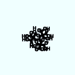 O=C(O)C(CC(CC(C(=O)O)(C(=O)O)C(=O)O)CC(C(=O)O)(C(=O)O)C(=O)O)(C(=O)O)C(=O)O